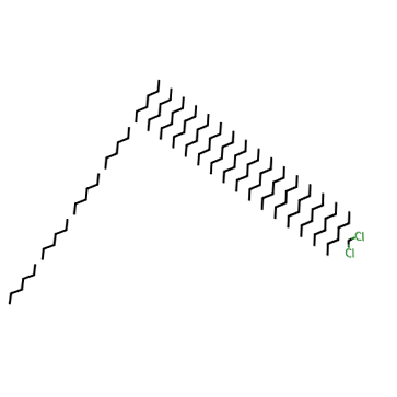 CCCCCC.CCCCCC.CCCCCC.CCCCCC.CCCCCC.CCCCCC.CCCCCC.CCCCCC.CCCCCC.CCCCCC.CCCCCC.CCCCCC.CCCCCC.CCCCCC.CCCCCC.CCCCCC.CCCCCC.CCCCCC.CCCCCC.CCCCCC.ClCCl